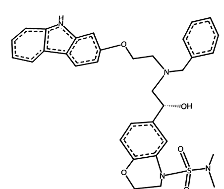 CN(C)S(=O)(=O)N1CCOc2ccc([C@@H](O)CN(CCOc3ccc4c(c3)[nH]c3ccccc34)Cc3ccccc3)cc21